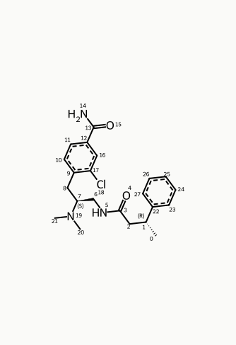 C[C@H](CC(=O)NC[C@H](Cc1ccc(C(N)=O)cc1Cl)N(C)C)c1ccccc1